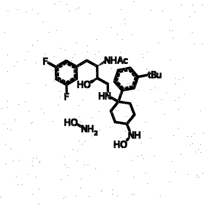 CC(=O)N[C@@H](Cc1cc(F)cc(F)c1)[C@H](O)CNC1(c2cccc(C(C)(C)C)c2)CCC(NO)CC1.NO